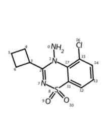 NN1C(C2CCC2)=NS(=O)(=O)c2cccc(Cl)c21